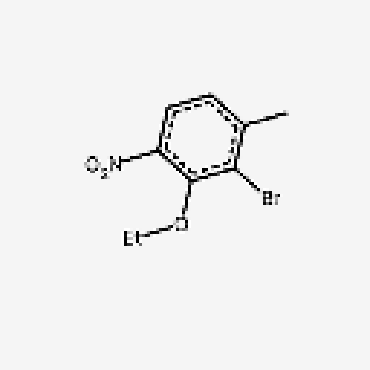 CCOc1c([N+](=O)[O-])ccc(C)c1Br